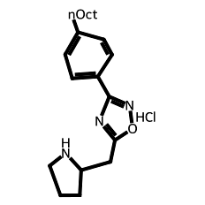 CCCCCCCCc1ccc(-c2noc(CC3CCCN3)n2)cc1.Cl